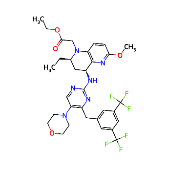 CCOC(=O)CN1c2ccc(OC)nc2[C@@H](Nc2ncc(N3CCOCC3)c(Cc3cc(C(F)(F)F)cc(C(F)(F)F)c3)n2)C[C@H]1CC